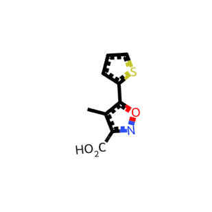 Cc1c(C(=O)O)noc1-c1cccs1